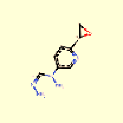 N/N=C\N(N)c1ccc([C@H]2CO2)nc1